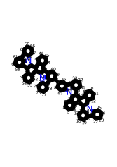 c1ccc2c(c1)c1c(c3ccccc3c3c1c1cccc4c5ccccc5n3c41)c1c3cccc4c5cc(-c6ccc7c8c9ccccc9c9c(c%10ccccc%10c%10c%11cccc%12c%13ccccc%13n(c%12%11)c%109)c8n8c9ccccc9c6c78)ccc5n(c43)c21